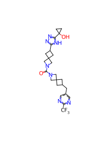 O=C(N1CC2(CC(Cc3cnc(C(F)(F)F)nc3)C2)C1)N1CC2(CC(c3nnc(C4(O)CC4)[nH]3)C2)C1